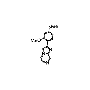 COc1cc(SC)ccc1-c1cn2ccncc2n1